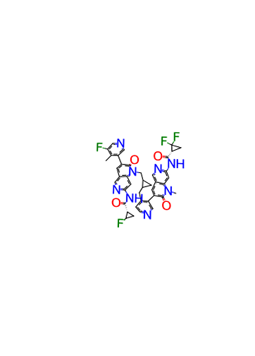 Cc1c(F)cncc1-c1cc2cnc(NC(=O)[C@@H]3C[C@H]3F)cc2n(CC2CC2Cc2ccncc2-c2cc3cnc(NC(=O)[C@H]4CC4(F)F)cc3n(C)c2=O)c1=O